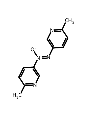 Cc1ccc(N=[N+]([O-])c2ccc(C)nc2)cn1